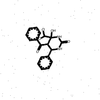 O=C1NC(c2ccccc2)C(C(=O)c2ccccc2)C(O)(C(Cl)Cl)N1